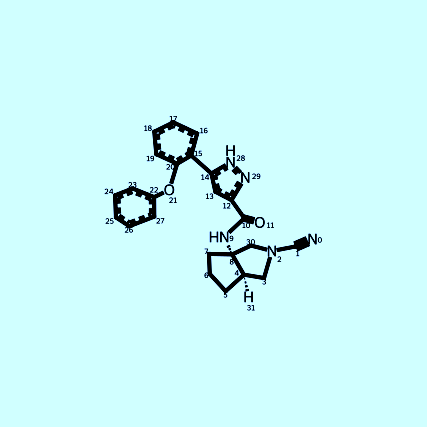 N#CN1C[C@H]2CCC[C@@]2(NC(=O)c2cc(-c3ccccc3Oc3ccccc3)[nH]n2)C1